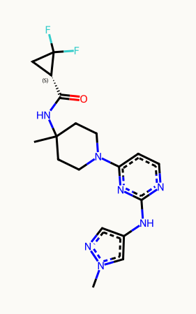 Cn1cc(Nc2nccc(N3CCC(C)(NC(=O)[C@@H]4CC4(F)F)CC3)n2)cn1